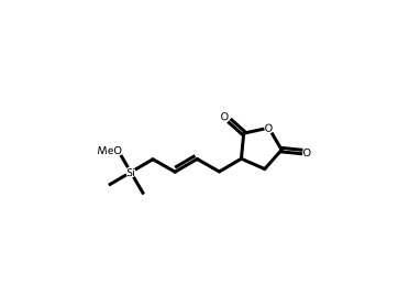 CO[Si](C)(C)C/C=C/CC1CC(=O)OC1=O